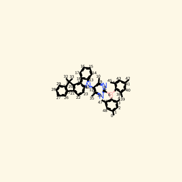 Cc1cc(C)c(B(c2nc(C)c(-n3c4ccccc4c4c5c(ccc43)-c3ccccc3C5(C)C)c(C)n2)c2c(C)cc(C)cc2C)c(C)c1